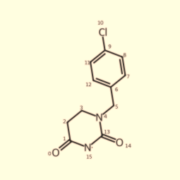 O=C1CCN(Cc2ccc(Cl)cc2)C(=O)[N]1